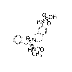 CNC(=O)[C@@H]1Cc2ccc(NS(=O)(=O)O)cc2CN1S(=O)(=O)Cc1ccccc1